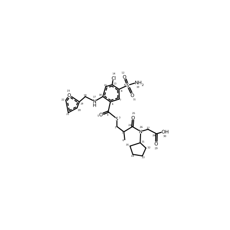 CC(CSC(=O)c1cc(S(N)(=O)=O)c(Cl)cc1NCc1ccco1)C(=O)N(CC(=O)O)C1CCCC1